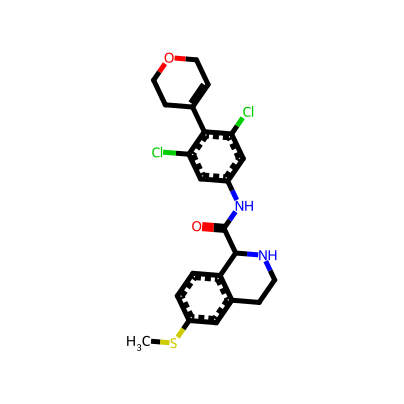 CSc1ccc2c(c1)CCNC2C(=O)Nc1cc(Cl)c(C2=CCOCC2)c(Cl)c1